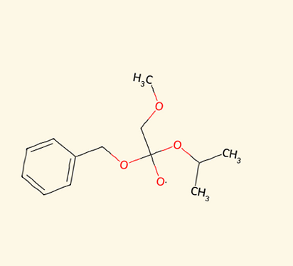 COCC([O])(OCc1ccccc1)OC(C)C